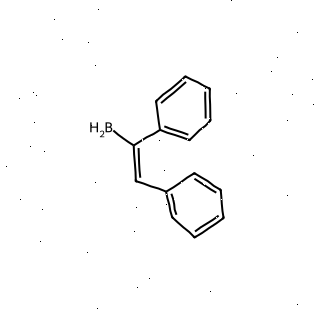 BC(=Cc1ccccc1)c1ccccc1